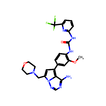 COc1cc(-c2cc(CN3CCOCC3)n3ncnc(N)c23)ccc1NC(=O)Nc1cccc(C(F)(F)F)n1